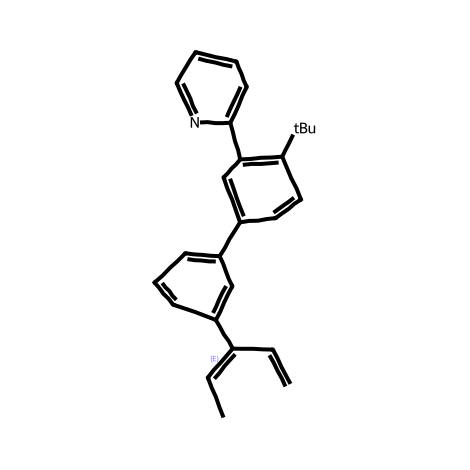 C=C/C(=C\C)c1cccc(-c2ccc(C(C)(C)C)c(-c3ccccn3)c2)c1